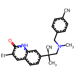 CCc1cc2ccc([C@](C)(C#N)CN(C)Cc3ccc(C#N)cc3)cc2[nH]c1=O